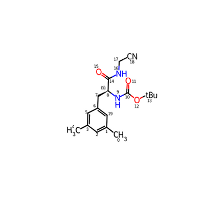 Cc1cc(C)cc(C[C@H](NC(=O)OC(C)(C)C)C(=O)NCC#N)c1